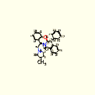 C[C@H]1CCN(CC(c2ccccc2)N(C)C(=O)C(c2ccccc2)c2ccccc2)C1